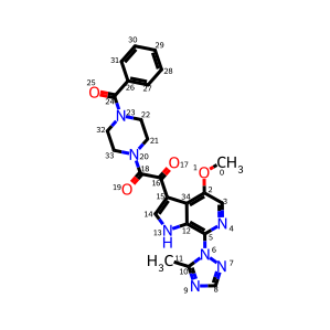 COc1cnc(-n2ncnc2C)c2[nH]cc(C(=O)C(=O)N3CCN(C(=O)c4ccccc4)CC3)c12